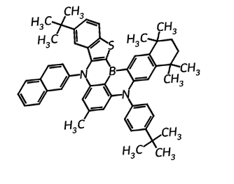 Cc1cc2c3c(c1)N(c1ccc4ccccc4c1)c1c(sc4ccc(C(C)(C)C)cc14)B3c1cc3c(cc1N2c1ccc(C(C)(C)C)cc1)C(C)(C)CCC3(C)C